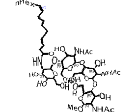 CCCCCC/C=C\CCCCCCCC(=O)NC1C(O[C@H]2C(CO)O[C@H](OC3C(CO)OC(O[C@H]4C(CO)O[C@H](OC)C(NC(C)=O)C4O)C(NC(C)=O)[C@H]3O)C(NC(C)=O)C2O)OC(CO)C(O)[C@@H]1O